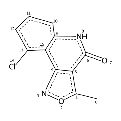 Cc1onc2c1c(=O)[nH]c1cccc(Cl)c12